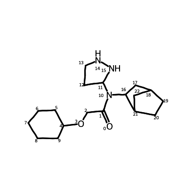 O=C(COC1CCCCC1)N(C1CCNN1)C1CC2CCC1C2